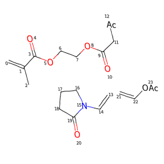 C=C(C)C(=O)OCCOC(=O)CC(C)=O.C=CN1CCCC1=O.C=COC(C)=O